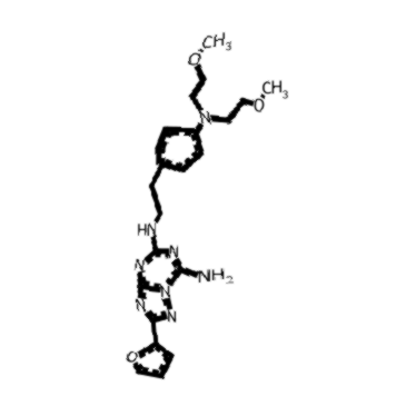 COCCN(CCOC)c1ccc(CCNc2nc(N)n3nc(-c4ccco4)nc3n2)cc1